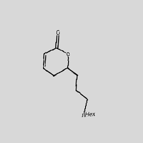 CCCCCCCCCC1CC=CC(=O)O1